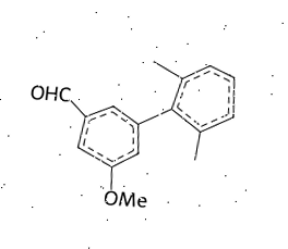 COc1cc(C=O)cc(-c2c(C)cccc2C)c1